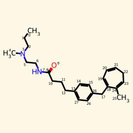 CCCN(C)CCNC(=O)CCCc1ccc(CC2=CC=CCC=C2C)cc1